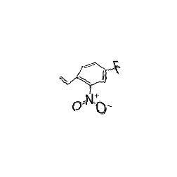 C=Cc1ccc(F)cc1[N+](=O)[O-]